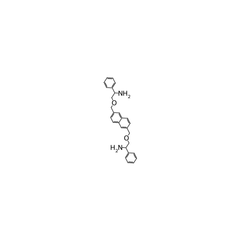 NC(COCc1ccc2cc(COCC(N)c3ccccc3)ccc2c1)c1ccccc1